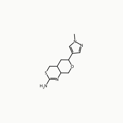 Cn1cc(C2CC3CSC(N)=NC3CO2)cn1